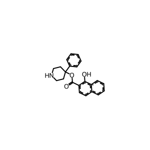 O=C(OC1(c2ccccc2)CCNCC1)c1ccc2ccccc2c1O